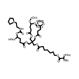 CCCCCCCCOC(CCC(=O)OCC(COC(=O)CCCCCCOC(=O)C(CCCC)CCCCCC)(COC(=O)CCC(CCCCCC)OC(=O)NCCN1CCCC1)COC(=O)CCC(OCCCCCCCC)OCCCCCCCC)OCCCCCCCC